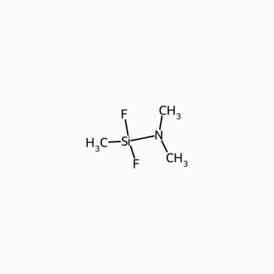 CN(C)[Si](C)(F)F